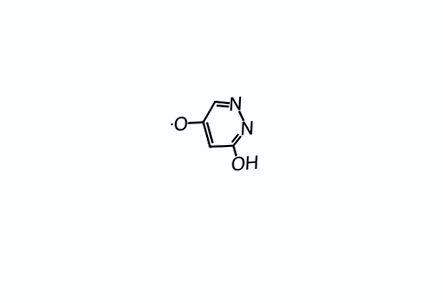 [O]c1cnnc(O)c1